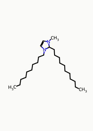 CCCCCCCCCCCC1N(C)C=CN1CCCCCCCCCC